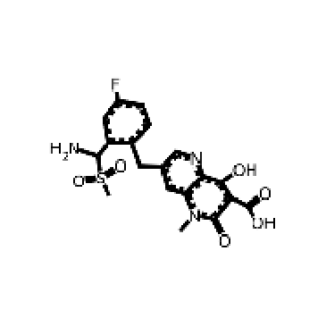 Cn1c(=O)c(C(=O)O)c(O)c2ncc(Cc3ccc(F)cc3C(N)S(C)(=O)=O)cc21